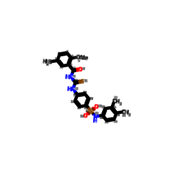 Bc1ccc(OC)c(C(=O)NC(=S)Nc2ccc(S(=O)(=O)Nc3ccc(C)c(C)c3)cc2)c1